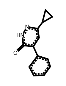 O=c1[nH]nc(C2CC2)cc1-c1ccccc1